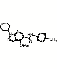 COc1c(C(=O)Nc2ccc(C)cc2)cnc2c1cnn2C1CCSCC1